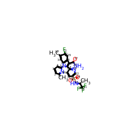 Cc1cccc(-n2c(-c3ccc(S(=O)(=O)N[C@@H](C)C(F)(F)F)cn3)c(C(N)=O)c3cc(F)c(C)cc32)n1